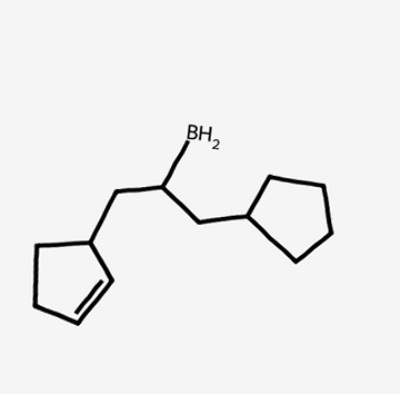 BC(CC1C=CCC1)CC1CCCC1